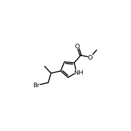 COC(=O)c1cc(C(C)CBr)c[nH]1